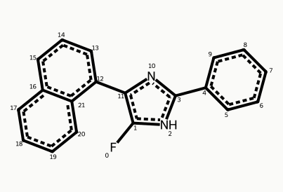 Fc1[nH]c(-c2ccccc2)nc1-c1cccc2ccccc12